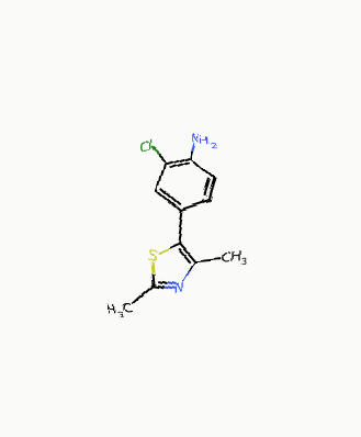 Cc1nc(C)c(-c2ccc(N)c(Cl)c2)s1